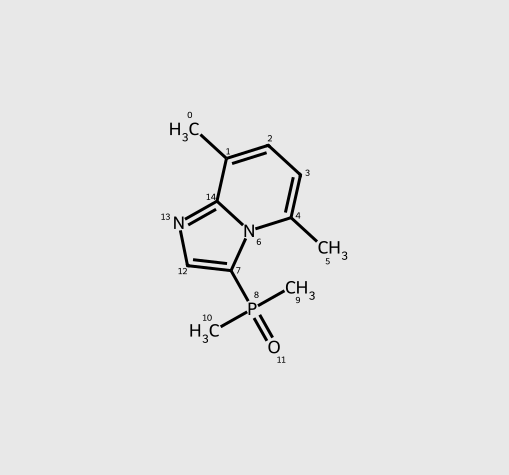 Cc1ccc(C)n2c(P(C)(C)=O)cnc12